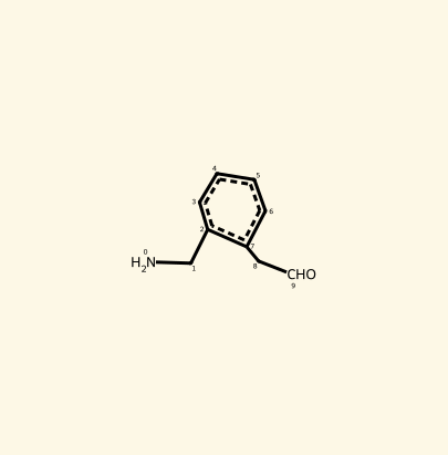 NCc1ccccc1CC=O